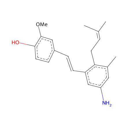 COc1cc(/C=C/c2cc(N)cc(C)c2CC=C(C)C)ccc1O